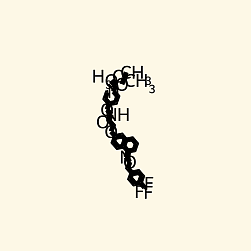 CC(C)(C)OC(=O)N1CCC(ONC(=O)COc2ccc3c(c2)CCCC3=NOCc2ccc(C(F)(F)F)cc2)CC1